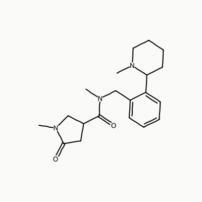 CN1CC(C(=O)N(C)Cc2ccccc2C2CCCCN2C)CC1=O